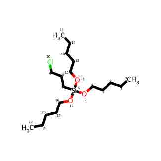 CCCCCO[Si](CCCCl)(OCCCCC)OCCCCC